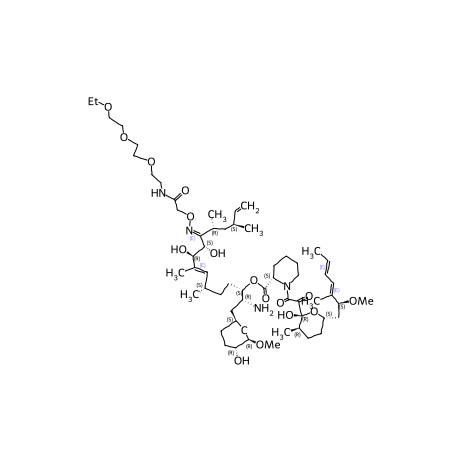 C=C[C@@H](C)C[C@@H](C)/C(=N\OCC(=O)NCCOCCOCCOCC)[C@H](O)[C@H](O)/C(C)=C/[C@@H](C)CC[C@H](OC(=O)[C@@H]1CCCCN1C(=O)C(=O)[C@]1(O)O[C@H](C[C@H](OC)/C(C)=C/C=C/C)CC[C@H]1C)[C@H](N)C[C@@H]1CC[C@@H](O)[C@H](OC)C1